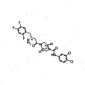 N[C@@H](CC(=O)N1C[C@H]2C[C@@H]1CN2C(=O)Nc1ccc(Cl)c(Cl)c1)Cc1cc(F)c(F)cc1F